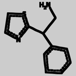 NCC(c1ccccc1)c1nccs1